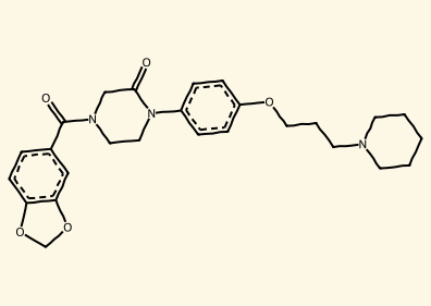 O=C(c1ccc2c(c1)OCO2)N1CCN(c2ccc(OCCCN3CCCCC3)cc2)C(=O)C1